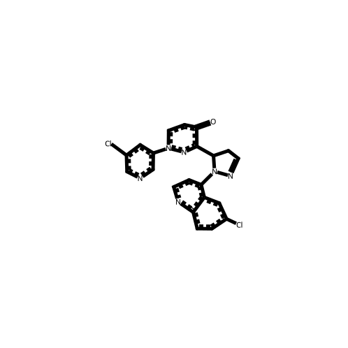 O=c1ccn(-c2cncc(Cl)c2)nc1C1CC=NN1c1ccnc2ccc(Cl)cc12